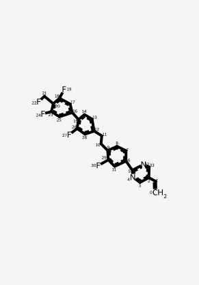 C=Cc1cnc(-c2ccc(CCc3ccc(-c4cc(F)c(CF)c(F)c4)c(F)c3)c(F)c2)nc1